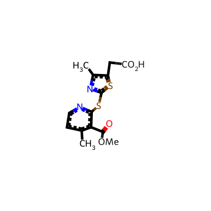 COC(=O)c1c(C)ccnc1Sc1nc(C)c(CC(=O)O)s1